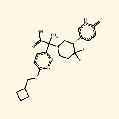 CC(C(N)=O)(c1ccc(OCC2CCC2)nn1)N1CCC(F)(F)[C@@H](c2ccc(=O)[nH]c2)C1